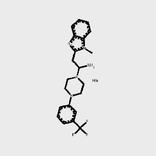 Br.Cn1c(CC(N)N2CCN(c3cccc(C(F)(F)F)c3)CC2)nc2ccccc21